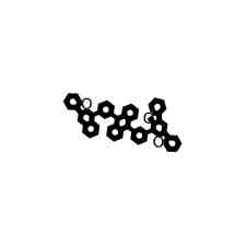 c1cc(-c2c3ccccc3c(-c3cccc(-c4c5oc6ccccc6c5cc5c4oc4ccccc45)c3)c3ccccc23)cc(-c2c3ccccc3cc3c2oc2ccccc23)c1